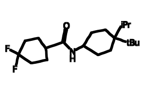 CC(C)C1(C(C)(C)C)CCC(NC(=O)C2CCC(F)(F)CC2)CC1